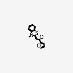 CN1/C(=C/C(=O)c2ccco2)Sc2ccccc21